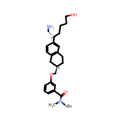 CCCCN(C)C(=O)c1cccc(OC[C@@H]2CCc3cc([C@H](CN)CCCCO)ccc3C2)c1